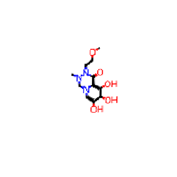 COCCN1C(=O)C2=C(O)C(O)C(O)=CN2CN1C